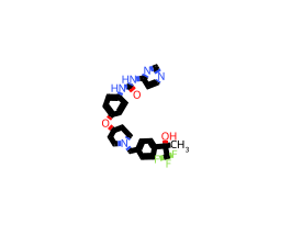 CC(O)(c1ccc(CN2CCC(Oc3ccc(NC(=O)Nc4ccncn4)cc3)CC2)cc1)C(F)(F)F